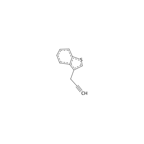 C#CCc1csc2ccccc12